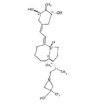 C=C1[C@H](O)CC(=CC=C2CCC[C@]3(C)[C@@H](C(C)CN4CC(O)(C(F)(F)F)C4)CC[C@@H]23)C[C@H]1O